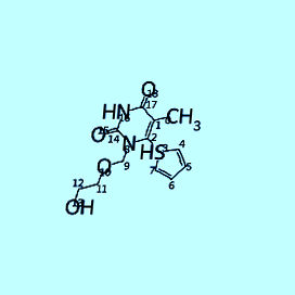 Cc1c([SH]2C=CC=C2)n(COCCO)c(=O)[nH]c1=O